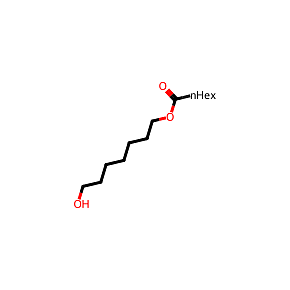 CCCCCCC(=O)OCCCCCCCO